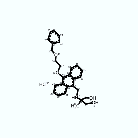 CC(CO)(CO)NCc1c2ccccc2c(OCCOCc2ccccc2)c2ccccc12.Cl